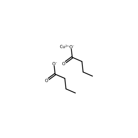 CCCC(=O)[O-].CCCC(=O)[O-].[Cu+2]